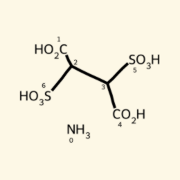 N.O=C(O)C(C(C(=O)O)S(=O)(=O)O)S(=O)(=O)O